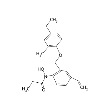 C=Cc1ccc(N(O)C(=O)CC)c(COc2ccc(CC)cc2C)c1